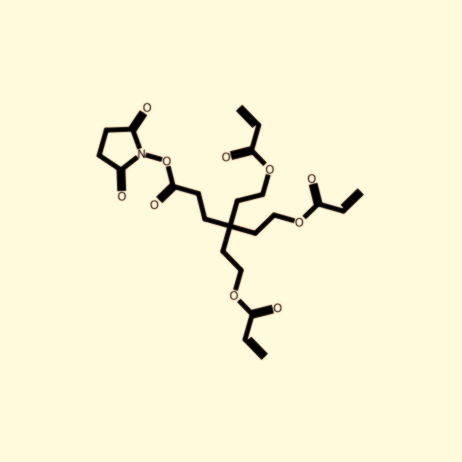 C=CC(=O)OCCC(CCOC(=O)C=C)(CCOC(=O)C=C)CCC(=O)ON1C(=O)CCC1=O